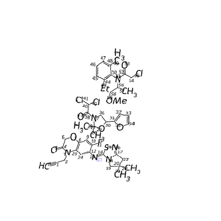 C#CCN1C(=O)COc2cc(F)c(/N=c3\snc4n3CC(C)(C)C4)cc21.CC1(C)OC(c2ccco2)CN1C(=O)C(Cl)Cl.CCc1cccc(C)c1N(C(=O)CCl)C(C)COC